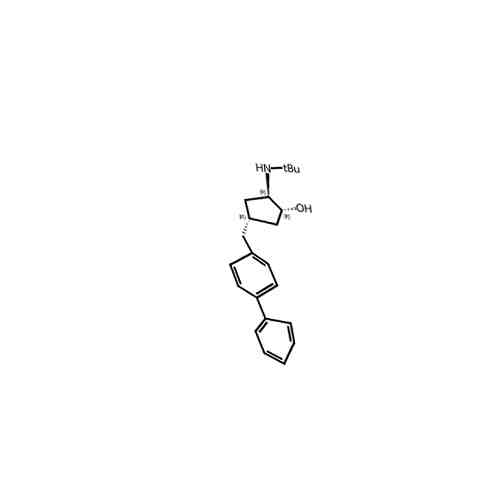 CC(C)(C)N[C@@H]1C[C@@H](Cc2ccc(-c3ccccc3)cc2)C[C@H]1O